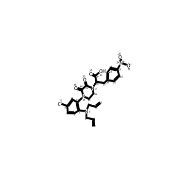 C=CCN(CC=C)c1ccc(Cl)cc1N1CCN(C(Cc2ccc([N+](=O)[O-])cc2)C(=O)O)C(=O)C1=O